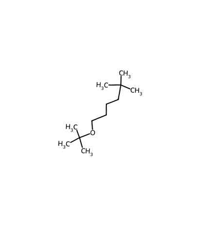 CC(C)(C)CCCCOC(C)(C)C